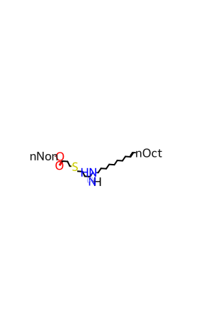 [H]/N=C(/CCCSCCC(=O)OCCCCCCCCC)NCCCCCCCCC=CCCCCCCCC